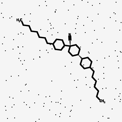 CCCCCCCCC1CCC([C@]2(C#N)CC[C@@H](C3CCC(CCCCCCC)CC3)CC2)CC1